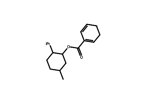 CC1CCC(C(C)C)C(OC(=O)C2=CC[CH]C=C2)C1